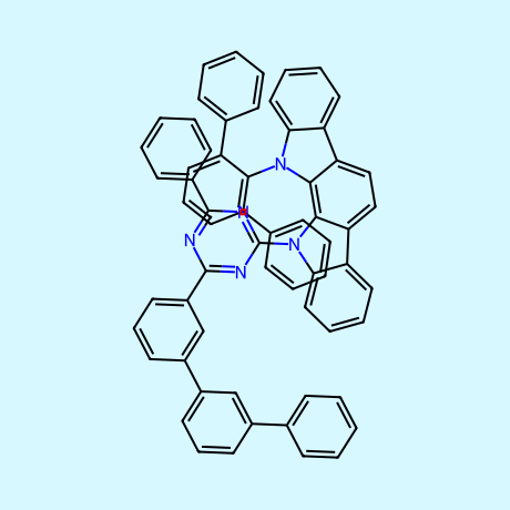 c1ccc(-c2cccc(-c3cccc(-c4nc(-c5ccccc5)nc(-n5c6ccccc6c6ccc7c8ccccc8n(-c8c(-c9ccccc9)cccc8-c8ccccc8)c7c65)n4)c3)c2)cc1